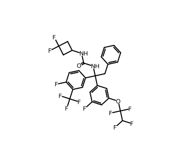 O=C(NC1CC(F)(F)C1)NC(Cc1ccccc1)(c1cc(F)cc(OC(F)(F)C(F)F)c1)c1ccc(F)c(C(F)(F)F)c1